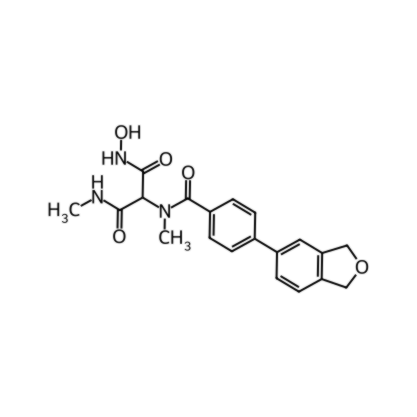 CNC(=O)C(C(=O)NO)N(C)C(=O)c1ccc(-c2ccc3c(c2)COC3)cc1